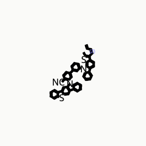 C=C/C=C\c1c(C)sc2c1ccc1c3ccccc3n(-c3cccc(-c4ccc(C#N)c(-n5c6ccccc6c6cc7sc8ccccc8c7cc65)c4)c3)c12